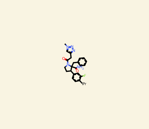 CC(C)c1ccc(C2CCN(C(=O)Cc3cn(C)nn3)C2(Cc2ccccc2)C(N)=O)cc1F